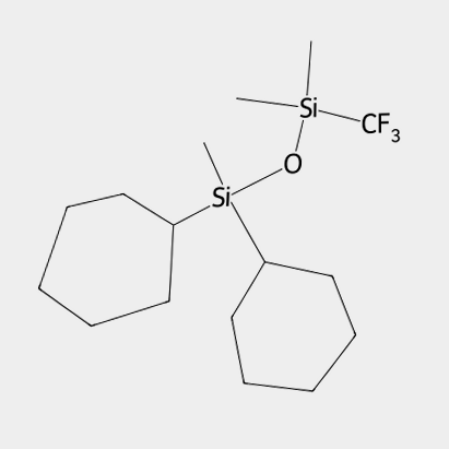 C[Si](O[Si](C)(C)C(F)(F)F)(C1CCCCC1)C1CCCCC1